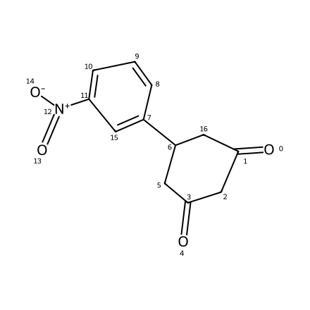 O=C1CC(=O)CC(c2cccc([N+](=O)[O-])c2)C1